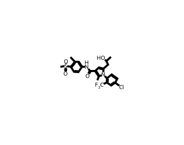 Cc1cc(NC(=O)c2cc(CC(C)O)n(-c3ccc(Cl)cc3C(F)(F)F)c2C)ccc1S(C)(=O)=O